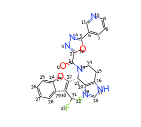 O=C(c1nnc(-c2cccnc2)o1)N1CCc2[nH]cnc2[C@@H]1c1oc2ccccc2c1C(F)F